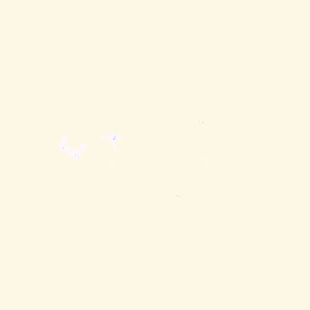 COc1cc(C(=O)Nc2nnc(C)s2)cc(OC)c1OCc1ccccc1